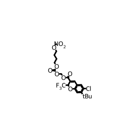 CC(C)(C)c1cc2c(cc1Cl)C=C(C(=O)OCOC(=O)OCCCCO[N+](=O)[O-])C(C(F)(F)F)O2